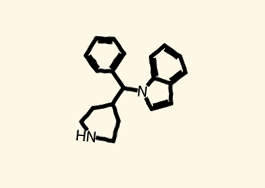 c1ccc(C(C2CCNCC2)n2ccc3ccccc32)cc1